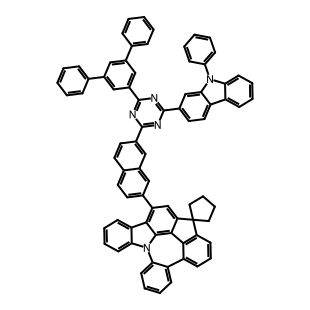 c1ccc(-c2cc(-c3ccccc3)cc(-c3nc(-c4ccc5ccc(-c6cc7c8c9c6c6ccccc6n9-c6ccccc6-c6cccc(c6-8)C76CCCC6)cc5c4)nc(-c4ccc5c6ccccc6n(-c6ccccc6)c5c4)n3)c2)cc1